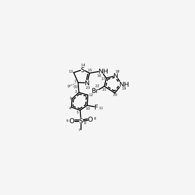 C[C@]1(c2ccc(S(C)(=O)=O)c(F)c2)CSC(Nc2n[nH]cc2Br)=N1